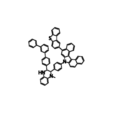 CN1c2ccccc2NC(c2ccc(-c3cccc(-c4ccccc4)c3)cc2)C1c1ccc(-n2c3ccc4ccccc4c3c3c4ccccc4c(-c4ccc5sc6ccccc6c5c4)cc32)cc1